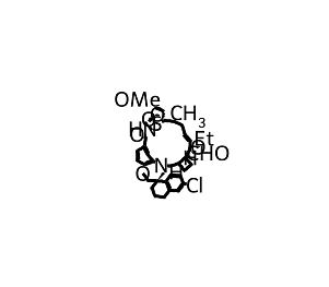 CCO[C@]1(C=O)/C=C/C[C@H](C)[C@@H](CCOC)S(=O)(=O)NC(=O)c2ccc3c(c2)N(C[C@@H]2CC[C@H]21)C[C@@]1(CCCc2cc(Cl)ccc21)CO3